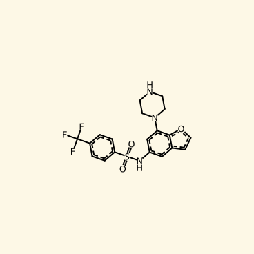 O=S(=O)(Nc1cc(N2CCNCC2)c2occc2c1)c1ccc(C(F)(F)F)cc1